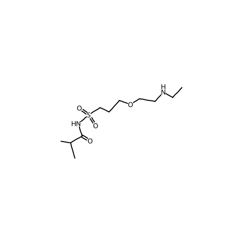 CCNCCOCCCS(=O)(=O)NC(=O)C(C)C